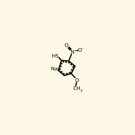 COc1ccc(S)c([N+](=O)[O-])c1.[Na]